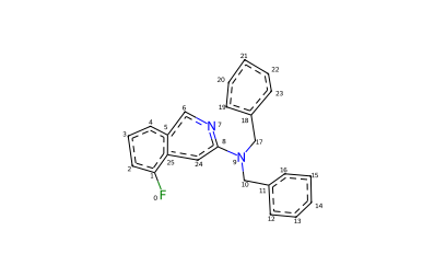 Fc1cccc2cnc(N(Cc3ccccc3)Cc3ccccc3)cc12